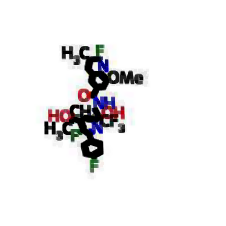 COc1cc(C(=O)NC[C@](O)(c2cc(C(C)(C)O)c(F)c(-c3ccc(F)cc3)n2)C(F)(F)F)cc2cc(C)c(F)nc12